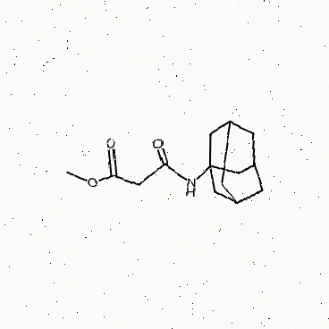 COC(=O)CC(=O)NC12CC3CC(CC(C3)C1)C2